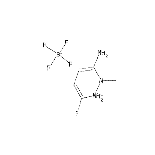 CN1[NH2+]C(F)=CC=C1N.F[B-](F)(F)F